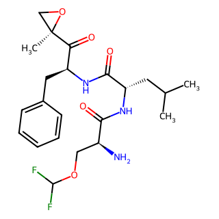 CC(C)C[C@H](NC(=O)[C@@H](N)COC(F)F)C(=O)N[C@@H](Cc1ccccc1)C(=O)[C@@]1(C)CO1